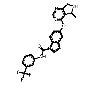 CC1NCc2ncnc(Oc3ccc4c(ccn4C(=O)Nc4cccc(C(F)(F)F)c4)c3)c21